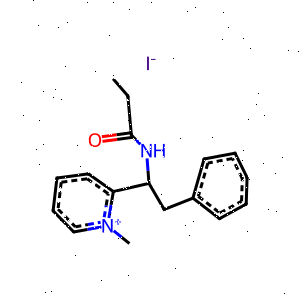 CCC(=O)NC(Cc1ccccc1)c1cccc[n+]1C.[I-]